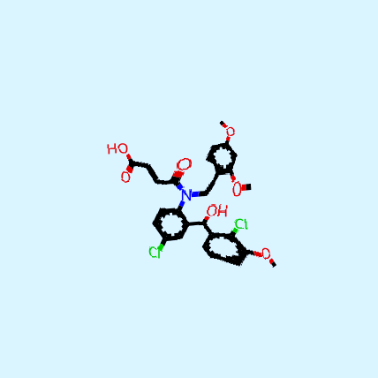 COc1ccc(CN(C(=O)/C=C/C(=O)O)c2ccc(Cl)cc2C(O)c2cccc(OC)c2Cl)c(OC)c1